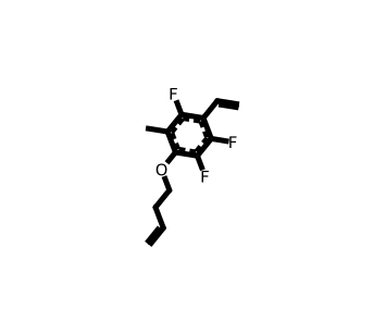 C=CCCOc1c(C)c(F)c(C=C)c(F)c1F